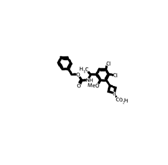 COc1c(C(C)NC(=O)OCc2ccccc2)cc(Cl)c(Cl)c1C1CN(C(=O)O)C1